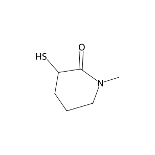 CN1CCCC(S)C1=O